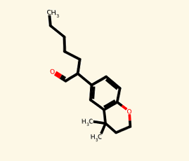 CCCCCC(C=O)c1ccc2c(c1)C(C)(C)CCO2